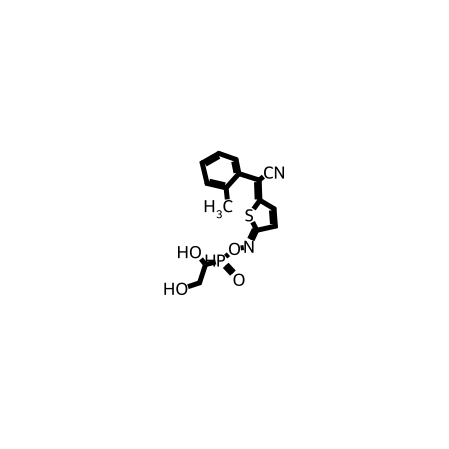 Cc1ccccc1C(C#N)=C1C=CC(=NO[PH](=O)C(O)CO)S1